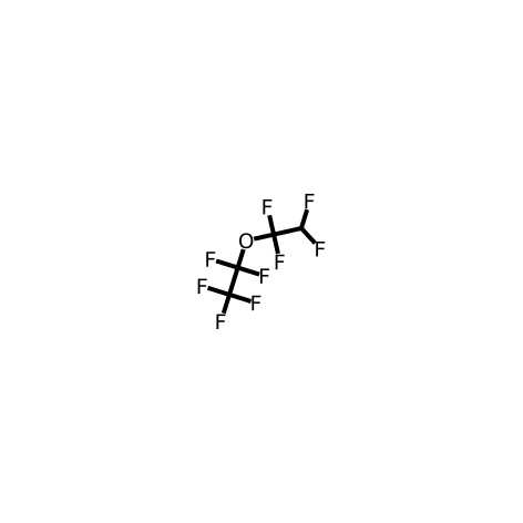 FC(F)C(F)(F)OC(F)(F)C(F)(F)F